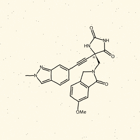 COc1ccc2c(c1)C(=O)N(C[C@@]1(C#Cc3ccc4cn(C)nc4c3)NC(=O)NC1=O)C2